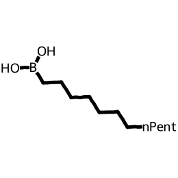 CCCCCCCCCCCCB(O)O